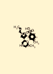 COCn1cc([C@H]2CNC[C@@H](C)O2)cn1.Cc1ccc(S(=O)(=O)O)cc1